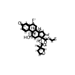 C[C@@H]1C[C@H]2[C@@H]3C[C@H](F)C4=CC(=O)C=C[C@]4(C)[C@@]3(F)[C@@H](O)C[C@]2(C)[C@@]1(OC(=O)C1(C)CCOC1)C(=O)SCF